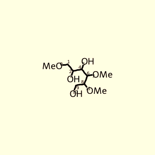 COCC(O)C(O)C(OC)C(CO)OC